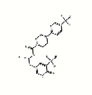 C[C@@H](Cc1c[nH]c(=O)c(C(F)(F)F)c1)OC(=O)N1CCN(c2ccc(C(F)(F)F)cc2)CC1